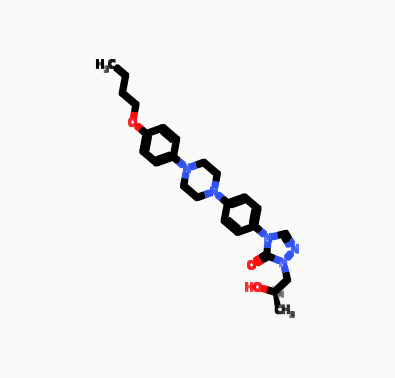 CCCCOc1ccc(N2CCN(c3ccc(-n4cnn(C[C@@H](C)O)c4=O)cc3)CC2)cc1